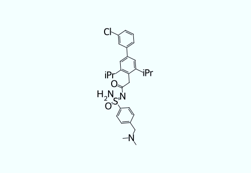 CC(C)c1cc(-c2cccc(Cl)c2)cc(C(C)C)c1CC(=O)N=S(N)(=O)c1ccc(CN(C)C)cc1